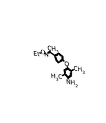 CCON=C(C)c1ccc(Oc2cc(C)c(N)cc2C)cc1